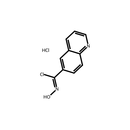 Cl.O/N=C(\Cl)c1ccc2ncccc2c1